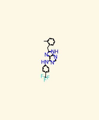 Cc1ccccc1Cc1nc2c(Nc3ccc(C(F)(F)F)cc3)ncnc2[nH]1